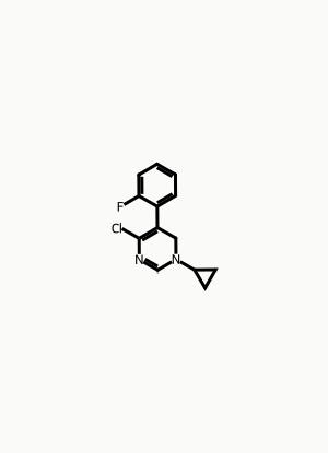 Fc1ccccc1C1=C(Cl)N=[C]N(C2CC2)C1